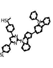 C[SiH](C)c1ccc(-c2cc(-c3ccc([Si](C)(C)C)cc3)nc(-n3c4ccccc4c4cc(-c5ccc6c7ccccc7n(-c7ccccc7)c6c5)ccc43)n2)cc1